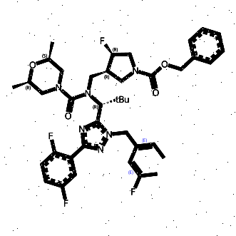 C/C=C(\C=C(/C)F)Cn1nc(-c2cc(F)ccc2F)nc1[C@H](N(C[C@@H]1CN(C(=O)OCc2ccccc2)C[C@@H]1F)C(=O)N1C[C@@H](C)O[C@@H](C)C1)C(C)(C)C